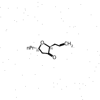 C=CC[C@@H]1O[C@@H](CCC)CC1=O